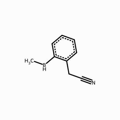 CBc1ccccc1CC#N